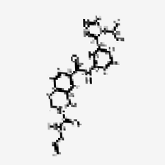 C=CCNC(=O)N1CCc2ccc(C(=O)Nc3cccc(-c4nncn4C(C)C)n3)cc2C1